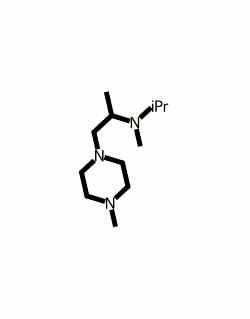 CC(C)N(C)C(C)CN1CCN(C)CC1